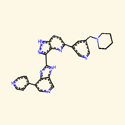 c1cc(-c2cncc3[nH]c(-c4n[nH]c5ccc(-c6cncc(CN7CCCCC7)c6)nc45)nc23)ccn1